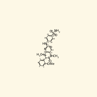 COc1ccccc1C1C(=O)N(C)c2cnc(Nc3ccc(S(N)(=O)=O)cc3)nc2N1C